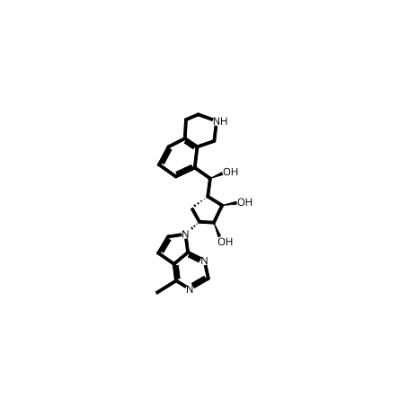 Cc1ncnc2c1ccn2[C@@H]1C[C@H]([C@H](O)c2cccc3c2CNCC3)[C@@H](O)[C@H]1O